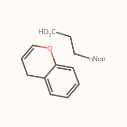 C1=COc2ccccc2C1.CCCCCCCCCCCC(=O)O